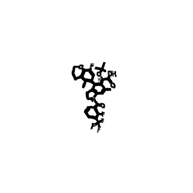 Cc1cc2c(c(-c3cc(F)c4c(c3C)CCCO4)c1[C@H](OC(C)(C)C)C(=O)O)CCN2C(=O)c1cccc(C(F)(F)F)c1F